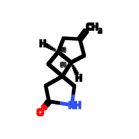 C=C1C[C@@H]2CC3(CNC(=O)C3)[C@@H]2C1